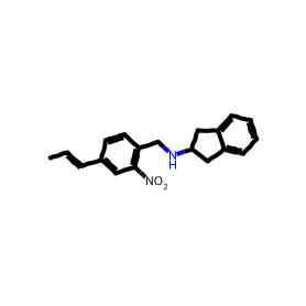 CC=Cc1ccc(CNC2Cc3ccccc3C2)c([N+](=O)[O-])c1